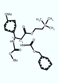 COc1ccc([C@H](NC(=O)OC(C)(C)C)[C@@H](NC(=O)OCc2ccccc2)C(=O)OCC[Si](C)(C)C)cc1